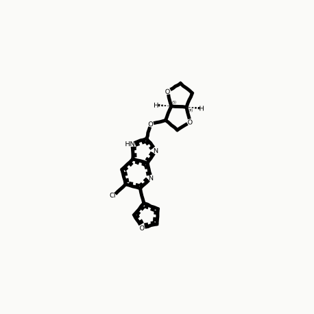 Clc1cc2[nH]c(OC3CO[C@@H]4CCO[C@H]34)nc2nc1-c1ccoc1